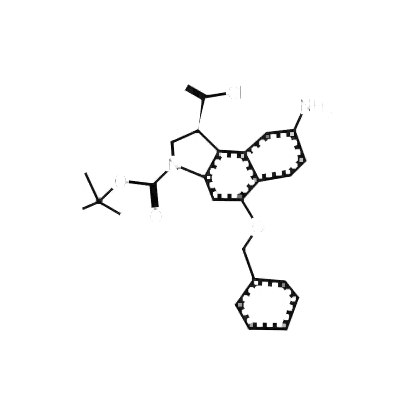 C=C(Cl)[C@@H]1CN(C(=O)OC(C)(C)C)c2cc(OCc3ccccc3)c3ccc(N)cc3c21